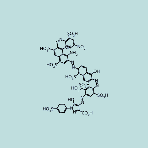 Nc1c(N=Nc2ccc3c(O)c(/N=N\c4cc(S(=O)(=O)O)c(/N=N/c5c(C(=O)O)nn(-c6ccc(S(=O)(=O)O)cc6)c5O)cc4S(=O)(=O)O)c(S(=O)(=O)O)cc3c2S(=O)(=O)O)cc(S(=O)(=O)O)c2cc(S(=O)(=O)O)c(/N=N\c3ccc([N+](=O)[O-])cc3S(=O)(=O)O)c(O)c12